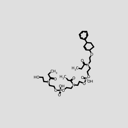 CCC(=O)N(CCO)CCOP(=O)(O)OCCN(CCOP(=O)(O)OCCN(CCOC1C=CC(c2ccccc2)CC1)C(=O)CC)C(=O)CC